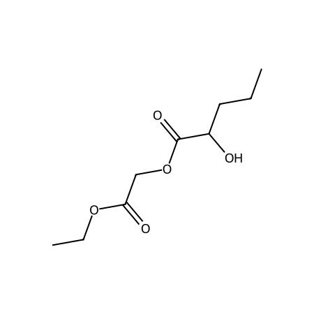 CCCC(O)C(=O)OCC(=O)OCC